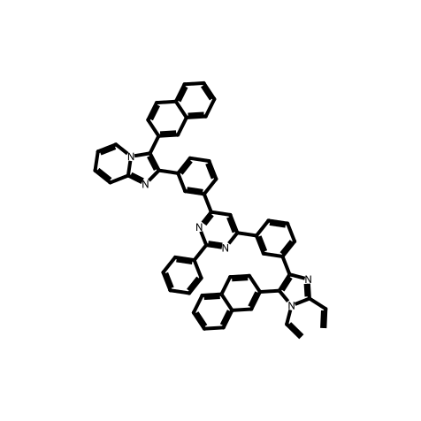 C=Cc1nc(-c2cccc(-c3cc(-c4cccc(-c5nc6ccccn6c5-c5ccc6ccccc6c5)c4)nc(-c4ccccc4)n3)c2)c(-c2ccc3ccccc3c2)n1C=C